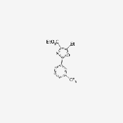 CCOC(=O)c1nc(-c2cccc(C(F)(F)F)c2)oc1CC